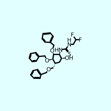 O[C@H]1C[C@H](COCc2ccccc2)[C@@H](OCc2ccccc2)[C@H](OCc2ccccc2)[C@H]1NC(=S)NCC(F)F